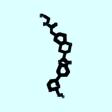 CC(C)CNC(=O)Cc1ccc2c(c1)CC(c1nc3cc(-c4ccnc(N)n4)ccc3[nH]1)CO2